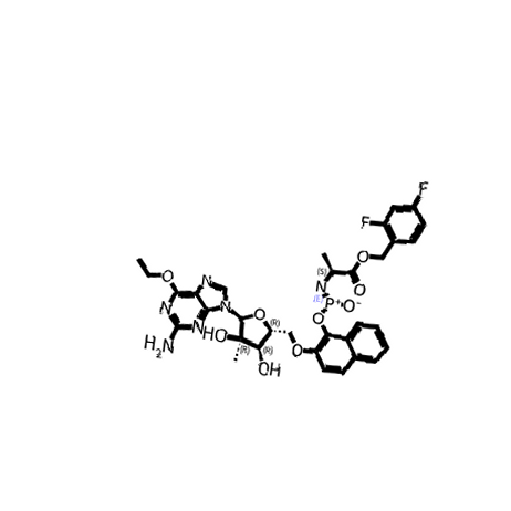 CCOc1nc(N)nc2c1ncn2C1O[C@H](COc2ccc3ccccc3c2O/[P+]([O-])=N/[C@@H](C)C(=O)OCc2ccc(F)cc2F)[C@@H](O)[C@@]1(C)O